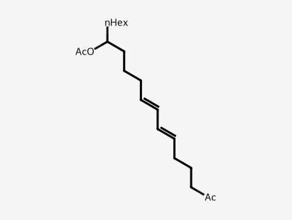 CCCCCCC(CCCC=CC=CCCCC(C)=O)OC(C)=O